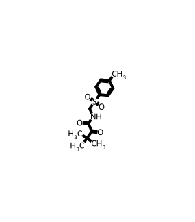 Cc1ccc(S(=O)(=O)CNC(=O)C(=O)C(C)(C)C)cc1